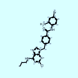 CCCNc1nc(Cl)nc2c1ncn2Cc1ccc(C(=O)Nc2ccc(Br)cc2N)cc1